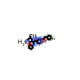 CC1CN(C)C(=O)c2c1[nH]c(-c1ccnc(NC(=O)Cc3ccc(F)cc3)c1)c2Nc1ccccc1